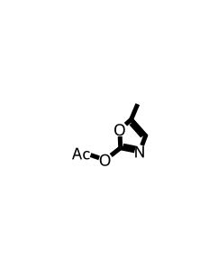 CC(=O)Oc1ncc(C)o1